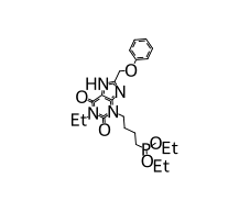 CCOP(CCCCn1c(=O)n(CC)c(=O)c2[nH]c(COc3ccccc3)nc21)OCC